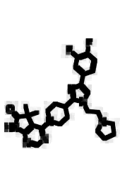 CC1(C)C(=O)Nc2ncnc(N3CCC(c4nc(-c5ccc(F)c(F)c5)cn4CCN4CCCC4)CC3)c21